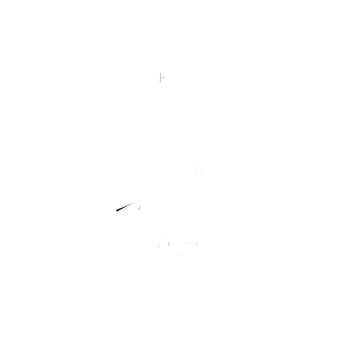 CCOC(=O)C[C@@H](C)c1ccc(F)cc1Br